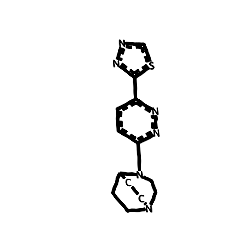 c1nnc(-c2ccc(N3CCN4CCC3CC4)nn2)s1